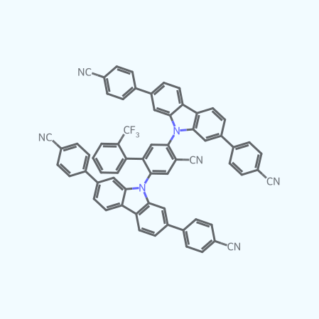 N#Cc1ccc(-c2ccc3c4ccc(-c5ccc(C#N)cc5)cc4n(-c4cc(-c5ccccc5C(F)(F)F)c(-n5c6cc(-c7ccc(C#N)cc7)ccc6c6ccc(-c7ccc(C#N)cc7)cc65)cc4C#N)c3c2)cc1